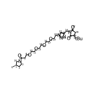 C[C@@H]1CCN(C(=O)CCOCCOCCOCCOCCn2cc(CN3C(=O)CC(C(C)(C)C)C3=O)nn2)C1